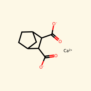 O=C([O-])C1C2CCC(C2)C1C(=O)[O-].[Ca+2]